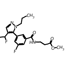 CCCn1ncc(C(F)F)c1-c1cc(F)cc(C(=O)NCCC(=O)OC)c1